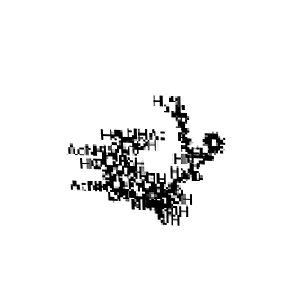 CC(=O)N[C@H]1[C@H](OC2[C@@H](CO)O[C@@H](OC3[C@@H](CO)O[C@@H](OC4[C@@H](CO)OC(O)[C@H](NC(C)=O)[C@H]4O)[C@H](NC(C)=O)[C@H]3O)[C@H](NC(C)=O)[C@H]2O)O[C@H](CO)C(O[C@@H]2O[C@H](CO)[C@@H](O)[C@H](O)[C@H]2NC(=O)CCNC(=O)[C@H](CSSc2ccccn2)NC(=O)CCOCCOCCN)[C@@H]1O